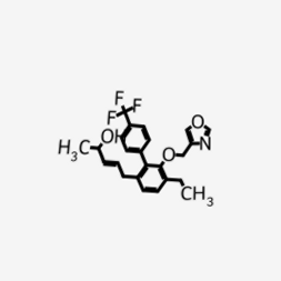 CCc1ccc(CC=CC(C)O)c(-c2ccc(C(F)(F)F)cc2)c1OCc1cocn1